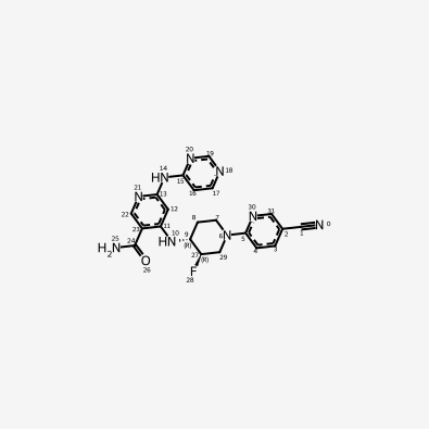 N#Cc1ccc(N2CC[C@@H](Nc3cc(Nc4ccncn4)ncc3C(N)=O)[C@H](F)C2)nc1